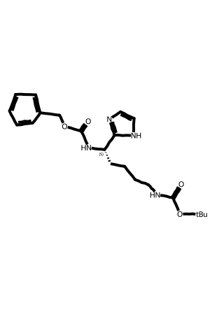 CC(C)(C)OC(=O)NCCCC[C@H](NC(=O)OCc1ccccc1)c1ncc[nH]1